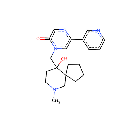 CN1CCC(O)(Cn2cc(-c3cccnc3)ncc2=O)C2(CCCC2)C1